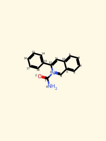 NC(=O)[n+]1cc2ccccc2cc1-c1ccccc1